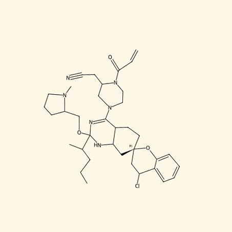 C=CC(=O)N1CCN(C2=NC(OCC3CCCN3C)(C(C)CCC)NC3C[C@]4(CCC23)CC(Cl)c2ccccc2O4)CC1CC#N